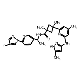 Cc1cc(Nc2cc(C)[nH]n2)nc([C@]2(O)C[C@](C)(C(=O)N[C@@H](C)c3ccc(-n4cc(F)cn4)nc3)C2)c1